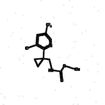 CC(C)(C)OC(=O)NCC1(c2ncc(C(F)(F)F)cc2Cl)CC1